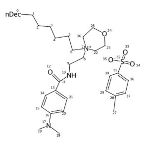 CCCCCCCCCCCCCCCC[N+]1(CCNC(=O)c2ccc(N(C)C)cc2)CCOCC1.Cc1ccc(S(=O)(=O)[O-])cc1